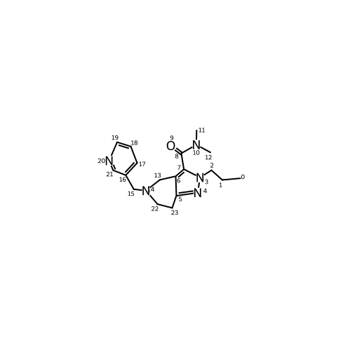 CCCn1nc2c(c1C(=O)N(C)C)CN(Cc1cccnc1)CC2